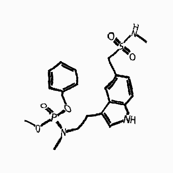 CNS(=O)(=O)Cc1ccc2[nH]cc(CCN(C)P(=O)(OC)Oc3ccccc3)c2c1